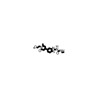 CCNC(=O)Nc1nc2cc(-c3cc(C)n(CCOC)c(=O)c3)ccc2s1